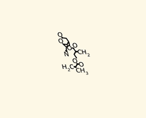 C=C(C)C(=O)OCCC(=C)C(=O)OC1C2CC(=O)OC1C(C#N)C2